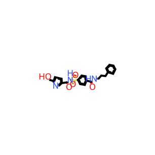 O=C(NCCCc1ccccc1)c1ccc(S(=O)(=O)NC(=O)c2ccc(CO)nc2)cc1